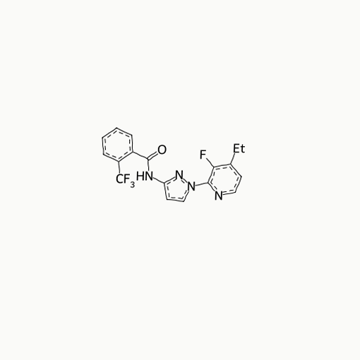 CCc1ccnc(-n2ccc(NC(=O)c3ccccc3C(F)(F)F)n2)c1F